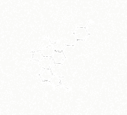 CS(=O)(=O)c1c(CCC2CCC(N)CC2)ccc(-c2cccc3sc(N)nc23)c1-c1nn[nH]n1